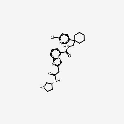 O=C(Cc1cn2c(C(=O)NCC3(c4ccc(Cl)nc4)CCCCC3)cccc2n1)N[C@@H]1CCNC1